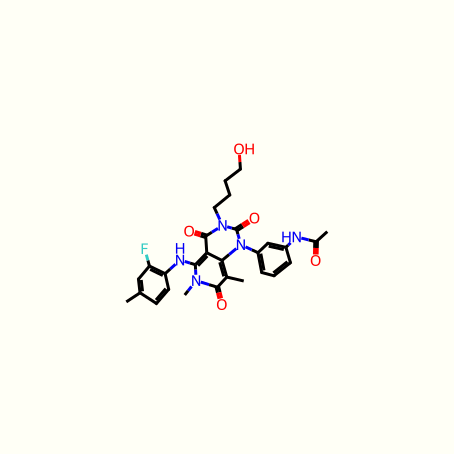 CC(=O)Nc1cccc(-n2c(=O)n(CCCCO)c(=O)c3c(Nc4ccc(C)cc4F)n(C)c(=O)c(C)c32)c1